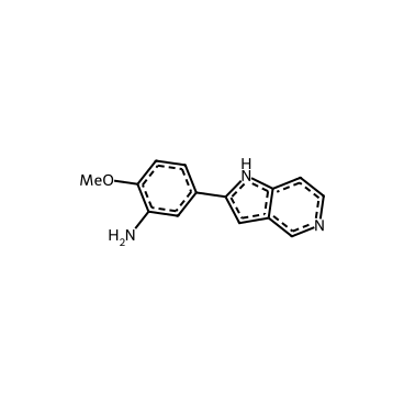 COc1ccc(-c2cc3cnccc3[nH]2)cc1N